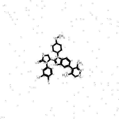 COC1CCC(n2c([C@@H]3COC(=S)N3c3ccc(F)c(F)c3)nc3cc(C4=C(C)CON=C4C)ccc32)CC1